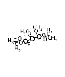 C=C(C)C(=O)Oc1ccc(-c2ccc(-c3ccc(OC(=O)C(=C)C)cc3COCC)cc2COC)c(F)c1